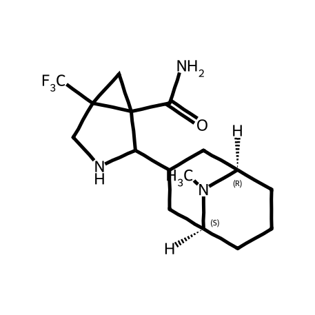 CN1[C@@H]2CCC[C@H]1CC(C1NCC3(C(F)(F)F)CC13C(N)=O)C2